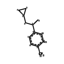 CC(CC1CC1)c1ccc(C(F)(F)F)nc1